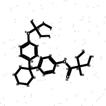 CCC(C)(CC)Oc1ccc(C2(c3ccc(OC(=O)C(C)(CC)CC)cc3)CCCCC2)cc1